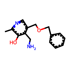 Cc1ncc(COCc2ccccc2)c(CN)c1O